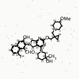 COC1CCN(CC2(COc3nc4c(c(N5CCC[C@@](C)(O)C5)n3)CN(c3c(O)cc5cccc(I)c5c3C=O)C4)CC2)CC1